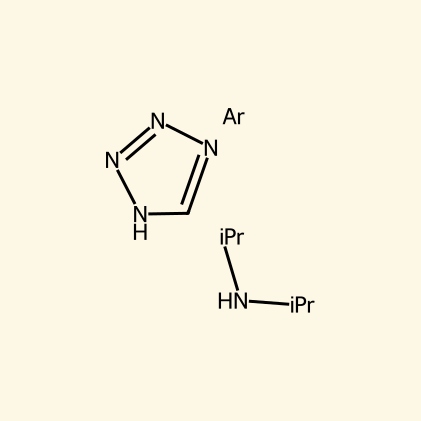 CC(C)NC(C)C.[Ar].c1nnn[nH]1